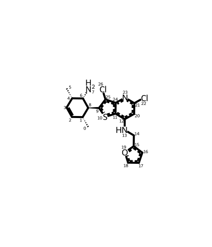 C[C@@H]1C=C[C@H](C)[C@H](N)[C@H]1c1sc2c(NCc3ccco3)cc(Cl)nc2c1Cl